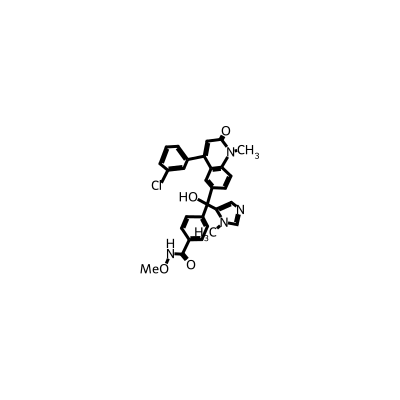 CONC(=O)c1ccc(C(O)(c2ccc3c(c2)c(-c2cccc(Cl)c2)cc(=O)n3C)c2cncn2C)cc1